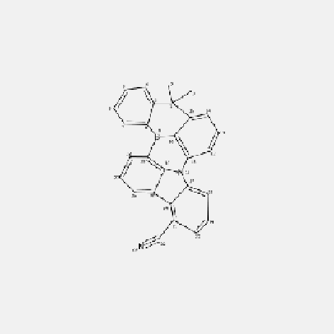 CC1(C)c2ccccc2B2c3c(cccc31)-n1c3cccc(C#N)c3c3cccc2c31